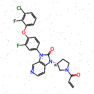 C=CC(=O)N1CC[C@@H](n2c(=O)n(-c3ccc(Oc4cccc(Cl)c4F)c(F)c3)c3cnccc32)C1